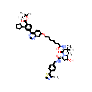 Cc1ncsc1-c1ccc(CNC(=O)[C@@H]2C[C@@H](O)CN2C(=O)[C@@H](NC(=O)CCCCCCOc2ccc3c(-c4ccc(C(=O)OC(C)(C)C)c(C5CCCC5)c4)ncnc3c2)C(C)(C)C)cc1